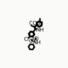 Cc1ccc2[nH]c(-c3ccc(Cl)c(S(=O)(=O)NC4CCCCC4)c3)c(CC(=O)O)c2c1